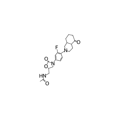 CC(=O)NCC1CN(c2ccc(N3CCC4C(=O)CCCC4C3)c(F)c2)C(=O)O1